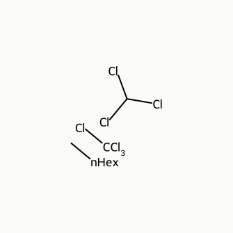 CCCCCCC.ClC(Cl)(Cl)Cl.ClC(Cl)Cl